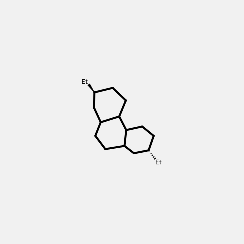 CC[C@H]1CCC2C(CCC3C[C@@H](CC)CCC32)C1